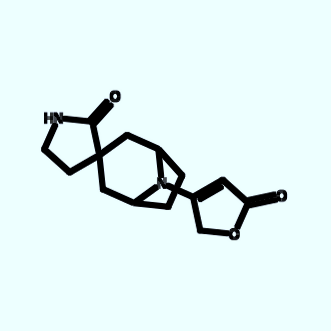 O=C1C=C(N2C3CCC2CC2(CCNC2=O)C3)CO1